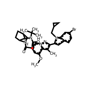 COc1cc(C(=O)N2CC3CCC2[C@@H]3N(C(=O)O)C(C)(C)C)cn2nc(-c3cc4ccc(Br)cc4n3CC3CC3)c(C)c12